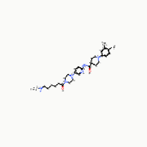 N#Cc1ccc(N2CCC(C(=O)Nc3ccc(N4CCN(C(=O)CCCCCNC(=O)O)CC4)cn3)CC2)cc1C(F)(F)F